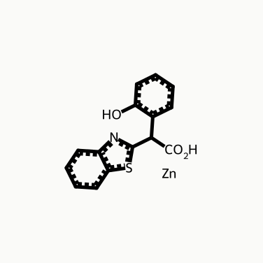 O=C(O)C(c1nc2ccccc2s1)c1ccccc1O.[Zn]